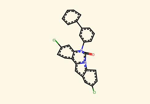 O=c1n(-c2cccc(-c3ccccc3)c2)c2cc(Cl)ccc2c2cc3cc(Cl)ccc3n12